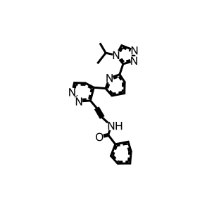 CC(C)n1cnnc1-c1cccc(-c2ccnnc2C#CNC(=O)c2ccccc2)n1